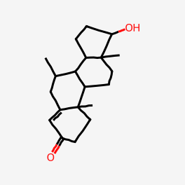 CC1CC2=CC(=O)CCC2(C)C2CCC3(C)C(O)CCC3C12